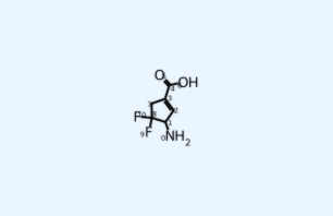 NC1C=C(C(=O)O)CC1(F)F